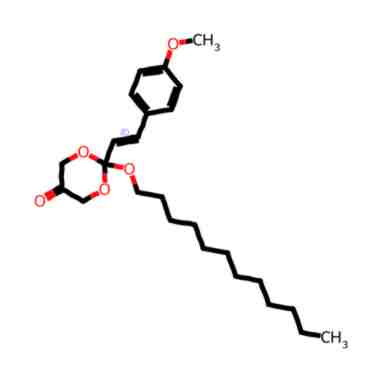 CCCCCCCCCCCCOC1(/C=C/c2ccc(OC)cc2)OCC(=O)CO1